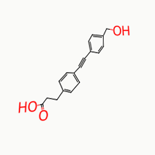 O=C(O)CCc1ccc(C#Cc2ccc(CO)cc2)cc1